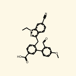 CCn1nc(Cc2ccc(C(=O)O)cc2-c2ccc(OC)cc2C=O)c2ccc(C#N)cc21